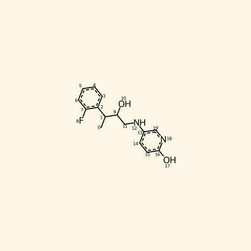 CC(c1ccccc1F)C(O)CNc1ccc(O)nc1